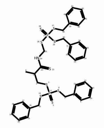 CC(CSP(=S)(SCc1ccccc1)SCc1ccccc1)C(=S)NCSP(=S)(SCc1ccccc1)SCc1ccccc1